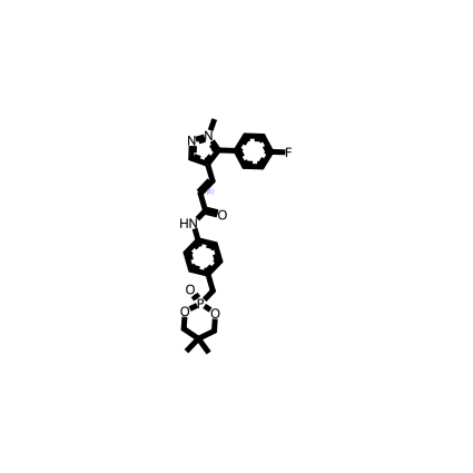 Cn1ncc(/C=C/C(=O)Nc2ccc(CP3(=O)OCC(C)(C)CO3)cc2)c1-c1ccc(F)cc1